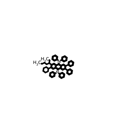 CCCCC(CC)c1cc2c(N(c3ccccc3)c3ccccc3)c3cc(-c4ccccc4)c(-c4ccccc4)cc3c(N(c3ccccc3)c3ccccc3)c2cc1C1CCCCC1